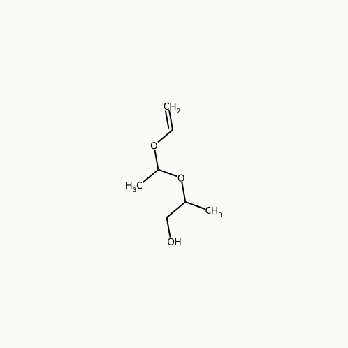 C=COC(C)OC(C)CO